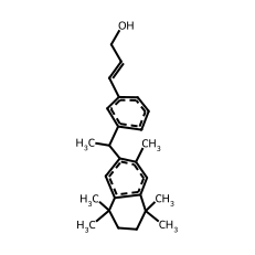 Cc1cc2c(cc1C(C)c1cccc(C=CCO)c1)C(C)(C)CCC2(C)C